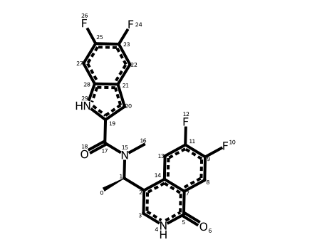 C[C@H](c1c[nH]c(=O)c2cc(F)c(F)cc12)N(C)C(=O)c1cc2cc(F)c(F)cc2[nH]1